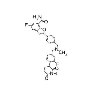 CN(Cc1ccc(-c2cc3cc(F)cc(C(N)=O)c3o2)cc1)Cc1ccc(C2CCC(=O)NC2=O)c(F)c1